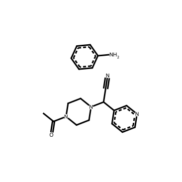 CC(=O)N1CCN(C(C#N)c2cccnc2)CC1.Nc1ccccc1